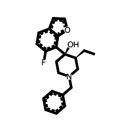 CC[C@H]1CN(Cc2ccccc2)CC[C@]1(O)c1c(F)ccc2ccoc12